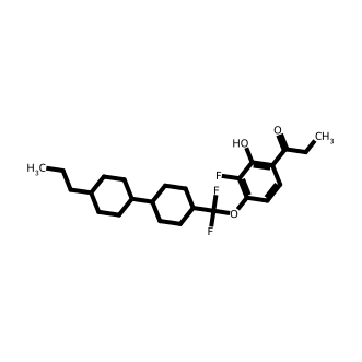 CCCC1CCC(C2CCC(C(F)(F)Oc3ccc(C(=O)CC)c(O)c3F)CC2)CC1